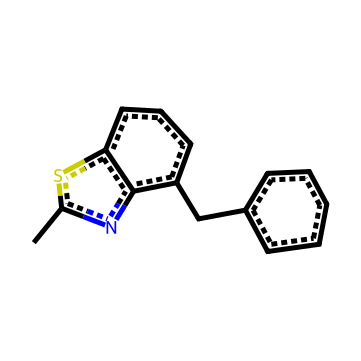 Cc1nc2c(Cc3ccccc3)cccc2s1